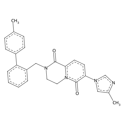 Cc1ccc(-c2ccccc2CN2CCn3c(ccc(-n4cnc(C)c4)c3=O)C2=O)cc1